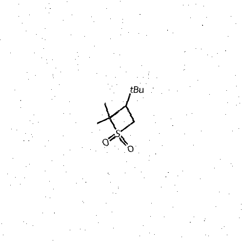 CC(C)(C)C1CS(=O)(=O)C1(C)C